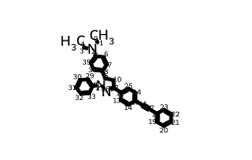 CCN(CC)c1ccc(C2CC(c3ccc(C#Cc4ccccc4)cc3)=NN2c2ccccc2)cc1